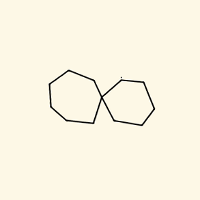 [CH]1CCCCC12CCCCCC2